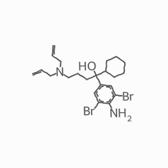 C=CCN(CC=C)CCCC(O)(c1cc(Br)c(N)c(Br)c1)C1CCCCC1